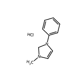 CN1C=CN(c2ccccc2)C1.Cl